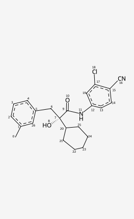 Cc1cccc(C[C@@](O)(C(=O)Nc2ccc(C#N)c(Cl)c2)C2CCCCC2)c1